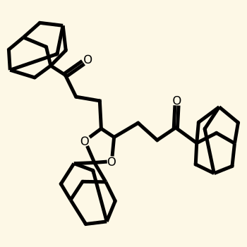 O=C(CCC1OC2(OC1CCC(=O)C13CC4CC(CC(C4)C1)C3)C1CC3CC(C1)CC2C3)C12CC3CC(CC(C3)C1)C2